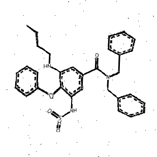 CCCCNc1cc(C(=O)N(Cc2ccccc2)Cc2ccccc2)cc(N[SH](=O)=O)c1Oc1ccccc1